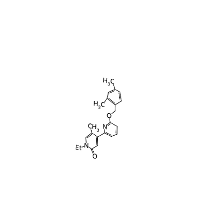 CCn1cc(C)c(-c2cccc(OCc3ccc(C)cc3C)n2)cc1=O